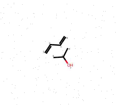 C=CC=C.CC(C)O